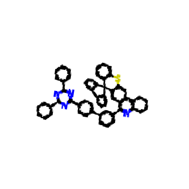 c1ccc(-c2nc(-c3ccccc3)nc(-c3ccc(-c4cccc(-c5nc6ccccc6c6cc7c(cc56)C5(c6ccccc6S7)c6ccccc6-c6ccccc65)c4)cc3)n2)cc1